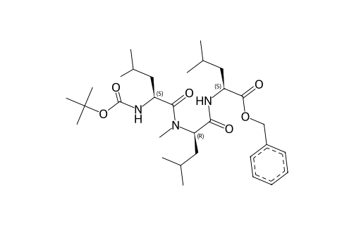 CC(C)C[C@H](NC(=O)[C@@H](CC(C)C)N(C)C(=O)[C@H](CC(C)C)NC(=O)OC(C)(C)C)C(=O)OCc1ccccc1